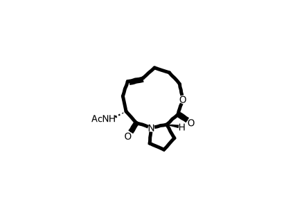 CC(=O)N[C@@H]1C/C=C/CCCOC(=O)[C@@H]2CCCN2C1=O